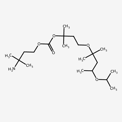 CC(C)OC(C)CC(C)(C)OCCC(C)(C)OC(=O)OCCC(C)(C)N